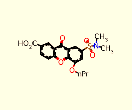 CCCOc1cc(S(=O)(=O)N(C)C)cc2c(=O)c3cc(C(=O)O)ccc3oc12